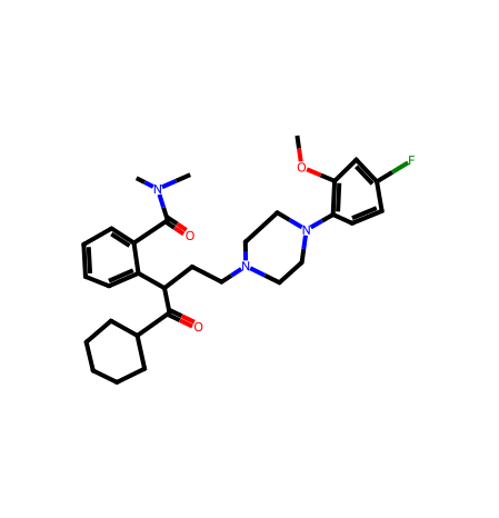 COc1cc(F)ccc1N1CCN(CCC(C(=O)C2CCCCC2)c2ccccc2C(=O)N(C)C)CC1